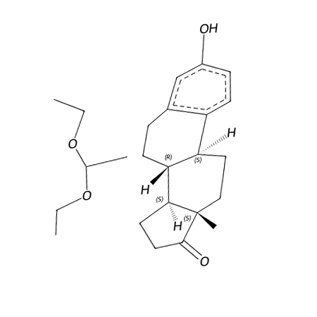 CCOC(C)OCC.C[C@]12CC[C@@H]3c4ccc(O)cc4CC[C@H]3[C@@H]1CCC2=O